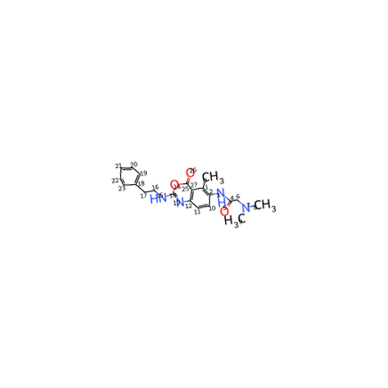 Cc1c(NC(=O)CN(C)C)ccc2nc(NCCc3ccccc3)oc(=O)c12